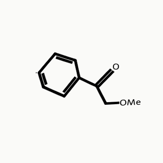 COCC(=O)c1cc[c]cc1